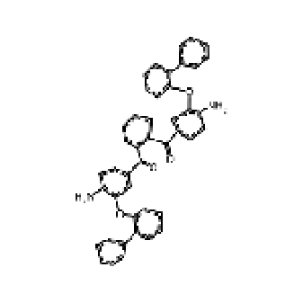 Nc1ccc(C(=O)c2ccccc2C(=O)c2ccc(N)c(Oc3ccccc3-c3ccccc3)c2)cc1Oc1ccccc1-c1ccccc1